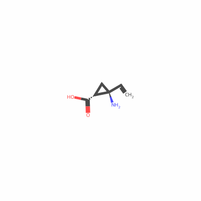 C=C[C@@]1(N)C[C@H]1C(=O)O